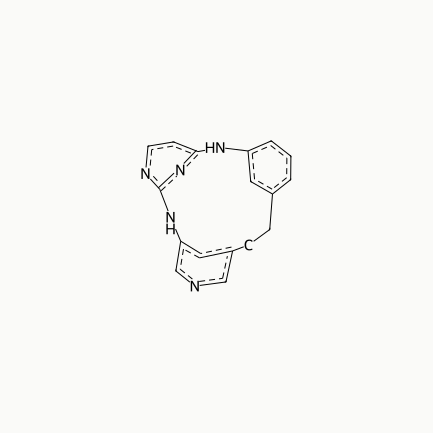 c1cc2cc(c1)Nc1ccnc(n1)Nc1cncc(c1)CC2